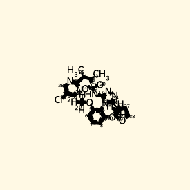 [2H]C([2H])([2H])Oc1cccc(OC([2H])([2H])[2H])c1-n1c(NS(=O)(=O)[C@@H](C)[C@H](C)c2ncc(Cl)cn2)nnc1[C@H]1CCOC1